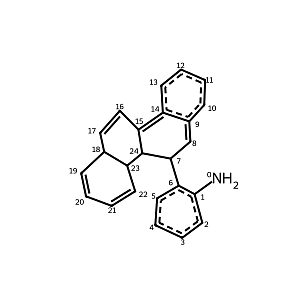 Nc1ccccc1C1C=c2ccccc2=C2C=CC3C=CC=CC3C21